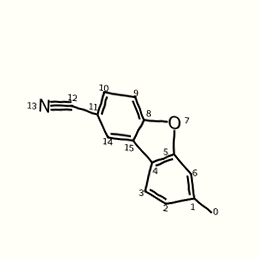 Cc1ccc2c(c1)oc1ccc(C#N)cc12